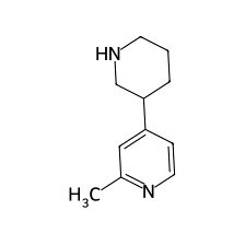 Cc1cc(C2CCCNC2)ccn1